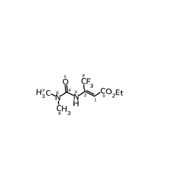 CCOC(=O)/C=C(/NC(=O)N(C)C)C(F)(F)F